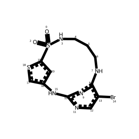 O=S1(=O)NCCCNc2nc(ncc2Br)Nc2csc1c2